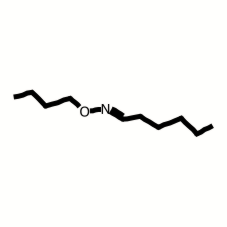 CCCCC/C=N/OCCCC